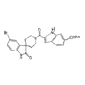 COc1ccc2cc(C(=O)N3CCC4(CC3)C(=O)Nc3ccc(Br)cc34)[nH]c2c1